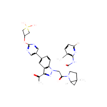 CC(=O)c1nn(CC(=O)N2[C@H](C(=O)Nc3nc(Br)ccc3C)C[C@@]3(C)C[C@@H]23)c2ccc(-c3cnc(OC4CS(O)(O)C4)nc3)cc12